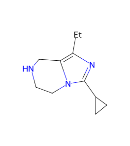 CCc1nc(C2CC2)n2c1CNCC2